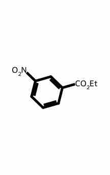 CCOC(=O)c1cccc([N+](=O)[O-])c1